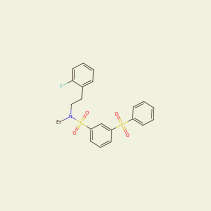 CCN(CCc1ccccc1F)S(=O)(=O)c1cccc(S(=O)(=O)c2ccccc2)c1